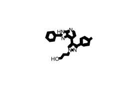 Cc1ccc(-c2nn(CCCO)cc2-c2ccnc3[nH]c(-c4ccccc4)nc23)cc1